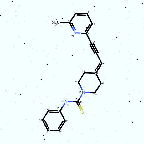 Cc1cccc(C#CC=C2CCN(C(=S)Nc3ccccc3)CC2)n1